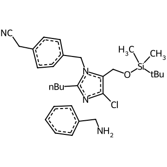 CCCCc1nc(Cl)c(CO[Si](C)(C)C(C)(C)C)n1Cc1ccc(CC#N)cc1.NCc1ccccc1